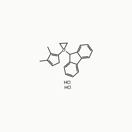 CC1=CC[C]([Zr]2([CH]3c4ccccc4-c4ccccc43)[CH2][CH2]2)=C1C.Cl.Cl